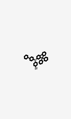 Brc1ccc(N(c2ccc(-c3ccccc3)cc2)c2ccc3c(c2)C(c2ccccc2)(c2ccccc2)c2ccccc2-3)cc1